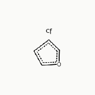 [Cf].c1ccoc1